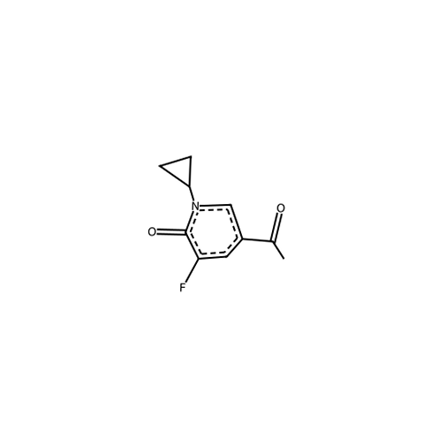 CC(=O)c1cc(F)c(=O)n(C2CC2)c1